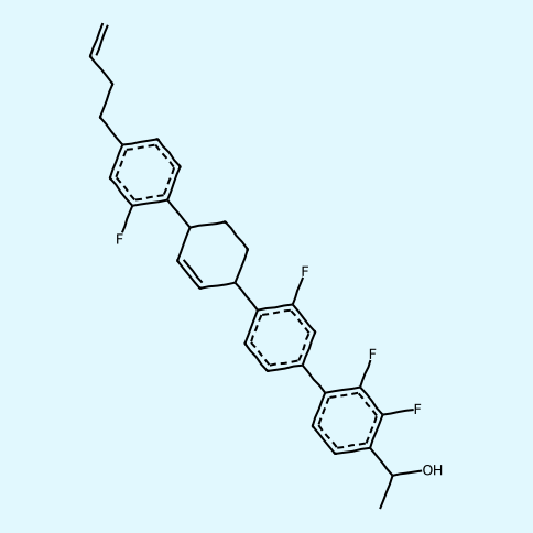 C=CCCc1ccc(C2C=CC(c3ccc(-c4ccc(C(C)O)c(F)c4F)cc3F)CC2)c(F)c1